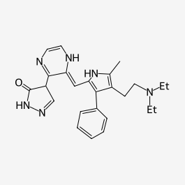 CCN(CC)CCc1c(C)[nH]c(C=C2NC=CN=C2C2C=NNC2=O)c1-c1ccccc1